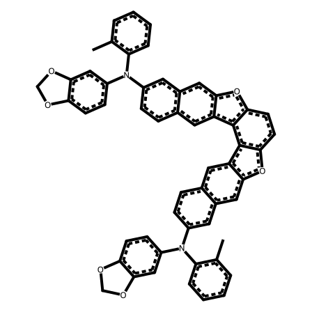 Cc1ccccc1N(c1ccc2c(c1)OCO2)c1ccc2cc3c(cc2c1)oc1ccc2oc4cc5cc(N(c6ccc7c(c6)OCO7)c6ccccc6C)ccc5cc4c2c13